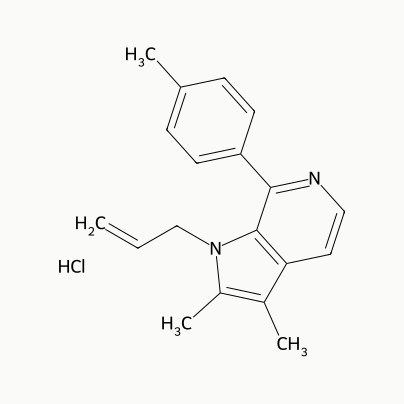 C=CCn1c(C)c(C)c2ccnc(-c3ccc(C)cc3)c21.Cl